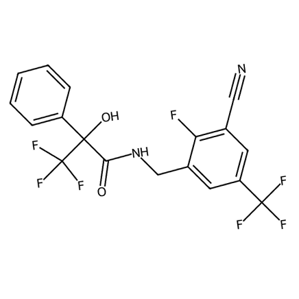 N#Cc1cc(C(F)(F)F)cc(CNC(=O)C(O)(c2ccccc2)C(F)(F)F)c1F